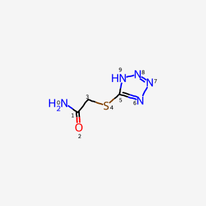 NC(=O)CSc1nnn[nH]1